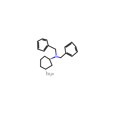 O=C(O)[C@@H]1CCC[C@@H](N(Cc2ccccc2)Cc2ccccc2)C1